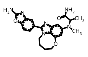 CC(C(N)=O)N(C)c1cc2c3c(c1)nc(-c1ccc4oc(N)nc4c1)n3CCCCO2